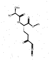 CO[C@H](C#N)C(=O)N[C@@H](CCC(=O)C=[N+]=[N-])C(=O)OC(C)C